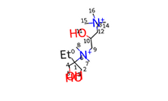 CCC(CO)(CO)[N+](C)(C)CC(O)C[N+](C)(C)C